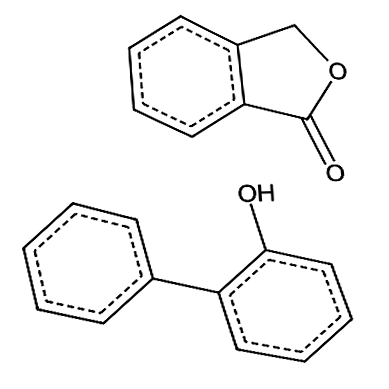 O=C1OCc2ccccc21.Oc1ccccc1-c1ccccc1